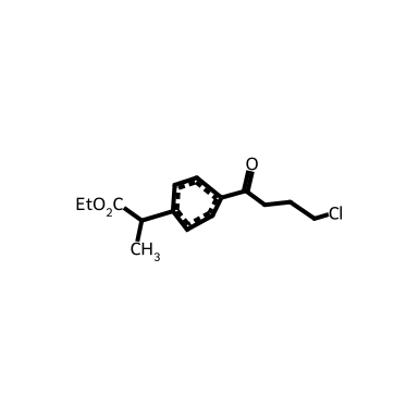 CCOC(=O)C(C)c1ccc(C(=O)CCCCl)cc1